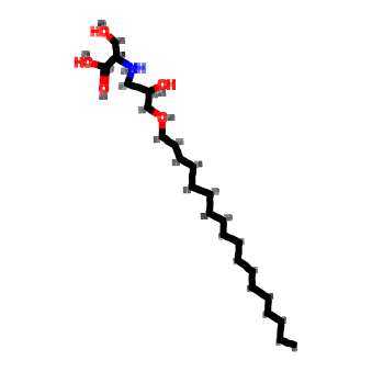 CCCCCCCCCCCCCCCCCCOCC(O)CNC(CO)C(=O)O